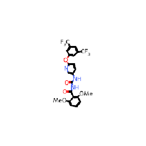 COc1cccc(OC)c1C(=O)NC(=O)Nc1ccc(Oc2cc(C(F)(F)F)cc(C(F)(F)F)c2)nc1